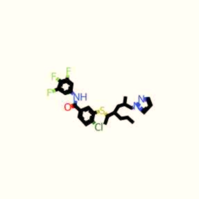 CCCC(CC(C)Cn1cccn1)C(C)Sc1cc(C(=O)Nc2cc(F)c(F)c(F)c2)ccc1Cl